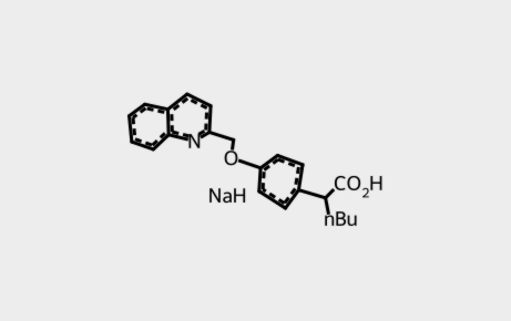 CCCCC(C(=O)O)c1ccc(OCc2ccc3ccccc3n2)cc1.[NaH]